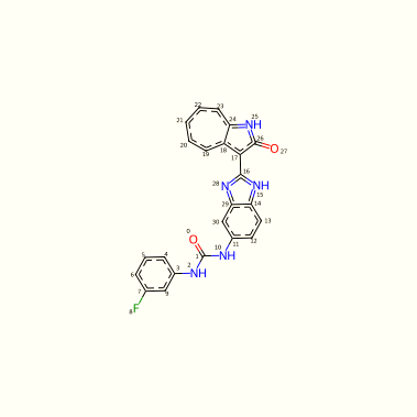 O=C(Nc1cccc(F)c1)Nc1ccc2[nH]c(-c3c4cccccc-4[nH]c3=O)nc2c1